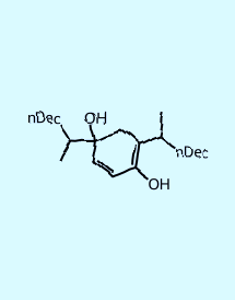 CCCCCCCCCCC(C)C1=C(O)C=CC(O)(C(C)CCCCCCCCCC)C1